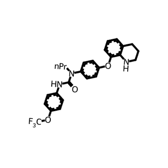 CCCN(C(=O)Nc1ccc(OC(F)(F)F)cc1)c1ccc(Oc2cccc3c2NCCC3)cc1